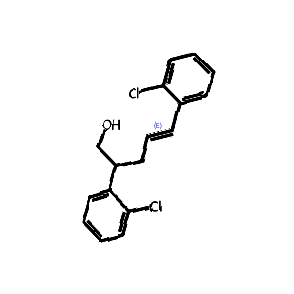 OCC(C/C=C/c1ccccc1Cl)c1ccccc1Cl